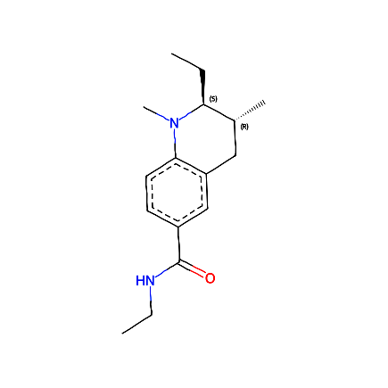 CCNC(=O)c1ccc2c(c1)C[C@@H](C)[C@H](CC)N2C